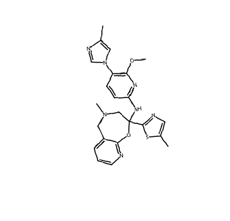 COc1nc(NC2(c3ncc(C)s3)CN(C)Cc3cccnc3O2)ccc1-n1cnc(C)c1